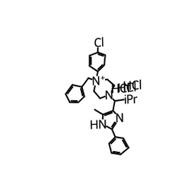 Cc1[nH]c(-c2ccccc2)nc1C(C(C)C)N1CC[N+](Cc2ccccc2)(c2ccc(Cl)cc2)CC1.Cl.Cl.Cl